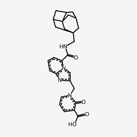 O=C(O)c1cccn(Cc2cn3c(C(=O)NCC45CC6CC7CC(C4)C7(C6)C5)cccc3n2)c1=O